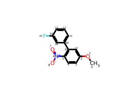 COc1ccc([N+](=O)[O-])c(-c2cccc(F)c2)c1